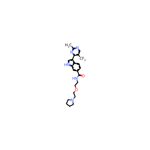 Cc1ncc(C(F)(F)F)c(-c2c[nH]c3cc(C(=O)NCCOCCN4CCCC4)ccc23)n1